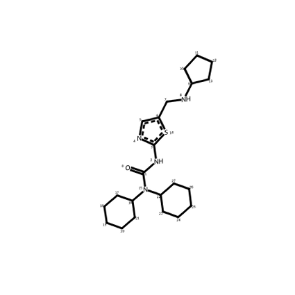 O=C(Nc1ncc(CNC2CCCC2)s1)N(C1CCCCC1)C1CCCCC1